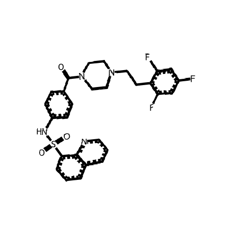 O=C(c1ccc(NS(=O)(=O)c2cccc3cccnc23)cc1)N1CCN(CCc2c(F)cc(F)cc2F)CC1